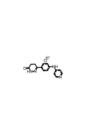 O=C1CCC(c2ccc(Nc3ccncc3)cc2)=NN1.[Cl-].[H+]